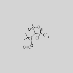 CC1(C)C(OC=O)C1C(C(Cl)(Br)C(F)(F)F)S(C)(=O)=O